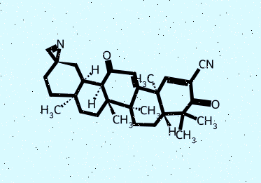 CC1(C)C(=O)C(C#N)=C[C@]2(C)C3=CC(=O)[C@@H]4[C@@H]5C[C@]6(C=N6)CC[C@]5(C)CC[C@@]4(C)[C@]3(C)CC[C@@H]12